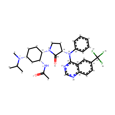 CC(=O)N[C@@H]1C[C@H](N(C)C(C)C)CC[C@@H]1N1CC[C@H](N(c2ccccc2)c2ncnc3ccc(C(F)(F)F)cc23)C1=O